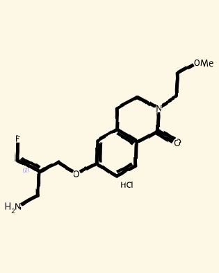 COCCN1CCc2cc(OC/C(=C\F)CN)ccc2C1=O.Cl